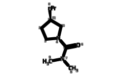 CCC[C@@H]1CCN(C(=O)N(C)C)C1